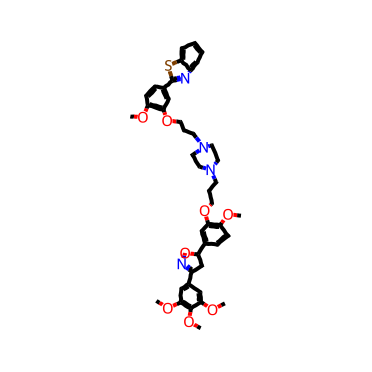 COc1ccc(-c2nc3ccccc3s2)cc1OCCCN1CCN(CCCOc2cc(C3CC(c4cc(OC)c(OC)c(OC)c4)=NO3)ccc2OC)CC1